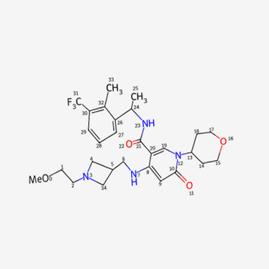 COCCN1CC(CNc2cc(=O)n(C3CCOCC3)cc2C(=O)NC(C)c2cccc(C(F)(F)F)c2C)C1